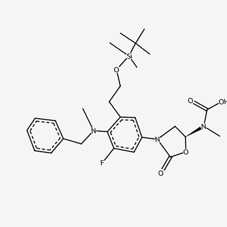 CN(Cc1ccccc1)c1c(F)cc(N2C[C@@H](N(C)C(=O)O)OC2=O)cc1CCO[Si](C)(C)C(C)(C)C